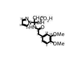 COc1ccc(CC(=O)NC(C)(NC(=O)O)n2cccn2)cc1OC